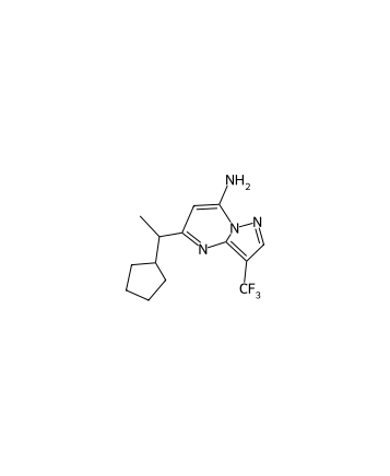 CC(c1cc(N)n2ncc(C(F)(F)F)c2n1)C1CCCC1